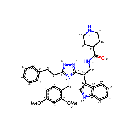 COc1ccc(Cn2c(CCc3ccccc3)nnc2C(CNC(=O)C2CCNCC2)c2c[nH]c3ccccc23)c(OC)c1